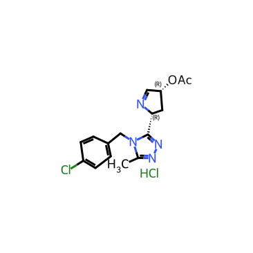 CC(=O)O[C@H]1C=N[C@@H](c2nnc(C)n2Cc2ccc(Cl)cc2)C1.Cl